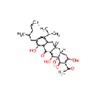 C=CCC(C)Cc1cc(C(C)C)c2c(c1O)C(=O)C1=C(O)[C@@]3(O)C(=O)C(C(C)=O)=C(O)C[C@H]3C[C@H]1C2